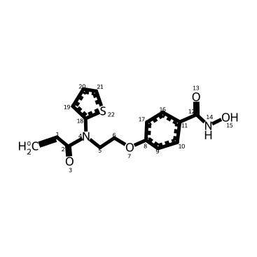 C=CC(=O)N(CCOc1ccc(C(=O)NO)cc1)c1cccs1